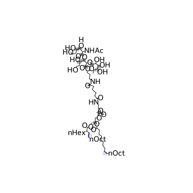 CCCCCCCC/C=C\CCCCCCCC(=O)O[C@H](COC(=O)C(/C=C/CCCCCCCC)CCCCCC)COP(C)(=O)OCCNC(=O)CCCCC(=O)NCCCO[C@@H]1OC(CO)[C@H](O)[C@H](O[C@H]2OC(CO)[C@H](O)[C@H](O)C2NC(C)=O)C1O[C@@H]1OC(C)[C@@H](O)[C@H](O)C1O